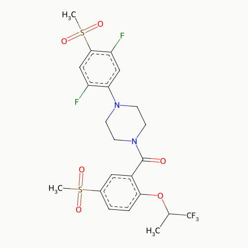 CC(Oc1ccc(S(C)(=O)=O)cc1C(=O)N1CCN(c2cc(F)c(S(C)(=O)=O)cc2F)CC1)C(F)(F)F